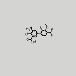 COc1c(C(F)F)ccc(-c2cc(N)c(Cl)c(C(=O)O)n2)c1F